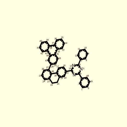 c1ccc(-c2nc(-c3ccccc3)nc(-c3ccc4c(c3)CCc3cccc(-c5ccc6c7ccccc7c7ccccc7c6c5)c3-4)n2)cc1